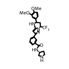 COc1ccc(C2CC(C(F)(F)F)n3nc(-c4cccc(C(=O)N[C@H]5CCNC5)c4)cc3N2)cc1OC